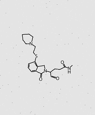 CNC(=O)CCC(C=O)N1Cc2c(SCCN3CCCCC3)cccc2C1=O